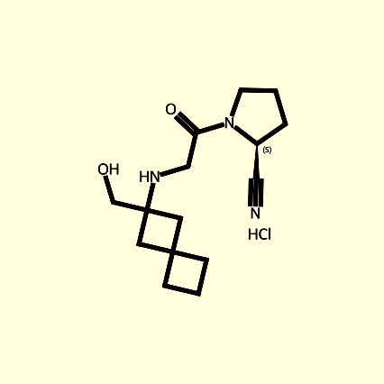 Cl.N#C[C@@H]1CCCN1C(=O)CNC1(CO)CC2(CCC2)C1